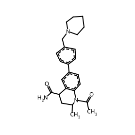 CC(=O)N1c2ccc(-c3ccc(CN4CCCCC4)cc3)cc2C(C(N)=O)CC1C